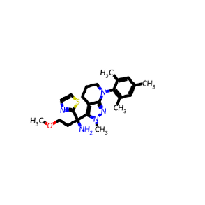 COCCC(N)(c1nccs1)c1c2c(nn1C)N(c1c(C)cc(C)cc1C)CCC2